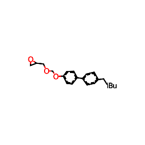 CCC(C)Cc1ccc(-c2ccc(OCOCC3CO3)cc2)cc1